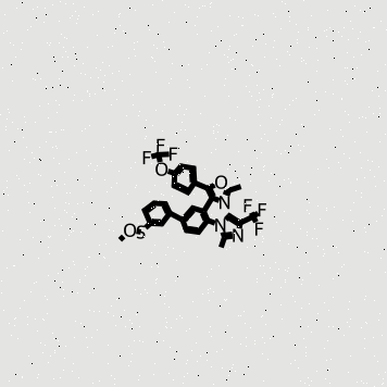 COSc1cccc(-c2ccc(-n3cc(C(F)(F)F)nc3C)c(-c3nc(C)oc3-c3ccc(OC(F)(F)F)cc3)c2)c1